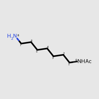 CC(=O)NCCCCCCCN